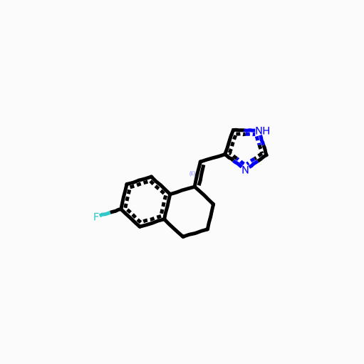 Fc1ccc2c(c1)CCC/C2=C\c1c[nH]cn1